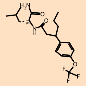 CCCC(CC(=O)N[C@H](CC(C)C)C(N)=O)c1ccc(OC(F)(F)F)cc1